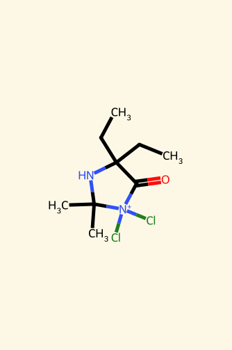 CCC1(CC)NC(C)(C)[N+](Cl)(Cl)C1=O